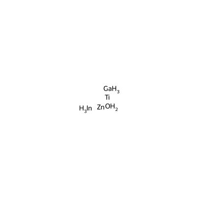 O.[GaH3].[InH3].[Ti].[Zn]